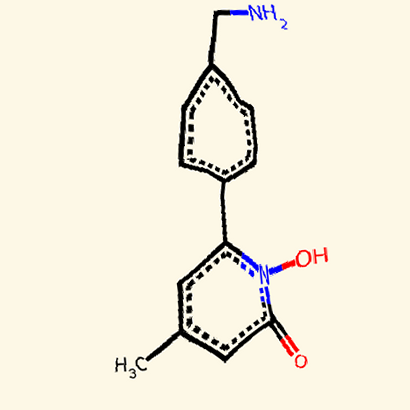 Cc1cc(-c2ccc(CN)cc2)n(O)c(=O)c1